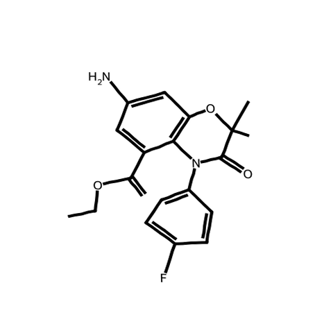 C=C(OCC)c1cc(N)cc2c1N(c1ccc(F)cc1)C(=O)C(C)(C)O2